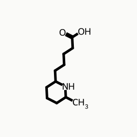 CC1CCCC(CCCCC(=O)O)N1